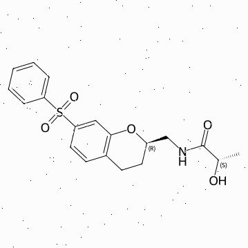 C[C@H](O)C(=O)NC[C@H]1CCc2ccc(S(=O)(=O)c3ccccc3)cc2O1